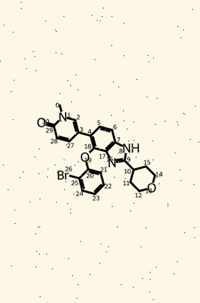 Cn1cc(-c2ccc3[nH]c(C4CCOCC4)nc3c2Oc2ccccc2Br)ccc1=O